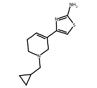 Nc1nc(C2=CCCN(CC3CC3)C2)cs1